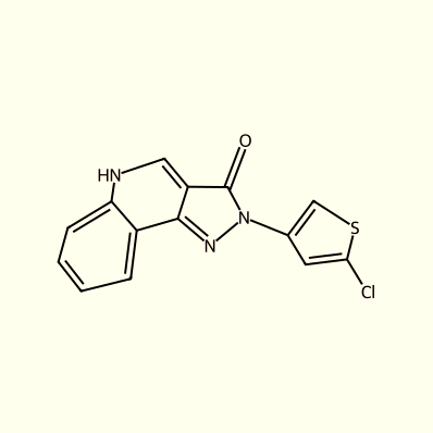 O=c1c2c[nH]c3ccccc3c-2nn1-c1csc(Cl)c1